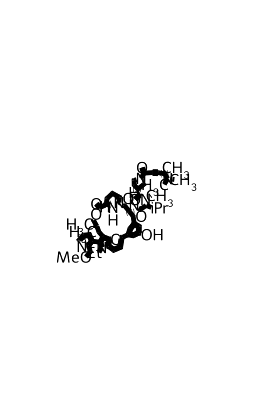 CCn1c(-c2cccnc2COC)c2c3cc(ccc31)-c1cc(O)cc(c1)C[C@H](NC(=O)C(C(C)C)N(C)C(=O)[C@H]1CCN(C(=O)C#C[C@H](C)N(C)C)C1)C(=O)N1CCC[C@H](N1)C(=O)OCC(C)(C)C2